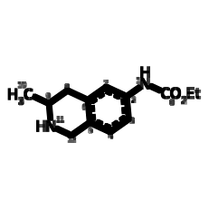 CCOC(=O)Nc1ccc2c(c1)CC(C)NC2